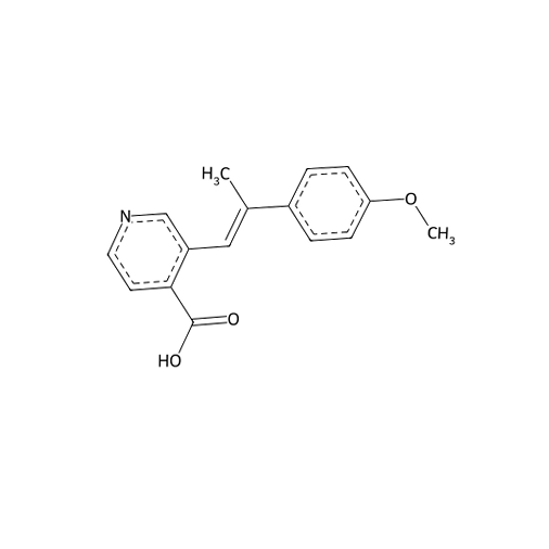 COc1ccc(C(C)=Cc2cnccc2C(=O)O)cc1